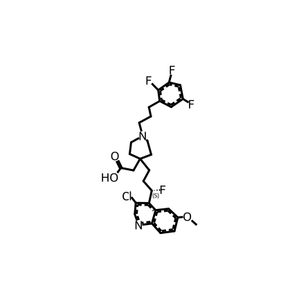 COc1ccc2ncc(Cl)c([C@@H](F)CCC3(CC(=O)O)CCN(CCCc4cc(F)cc(F)c4F)CC3)c2c1